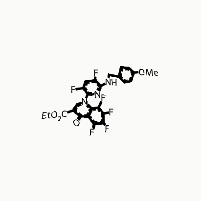 CCOC(=O)c1cn(-c2nc(NCc3ccc(OC)cc3)c(F)cc2F)c2c(F)c(F)c(F)c(F)c2c1=O